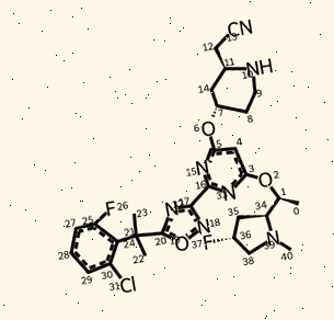 C[C@H](Oc1cc(O[C@H]2CCN[C@H](CC#N)C2)nc(-c2noc(C(C)(C)c3c(F)cccc3Cl)n2)n1)[C@@H]1C[C@@H](F)CN1C